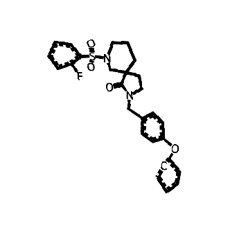 O=C1N(Cc2ccc(Oc3ccccc3)cc2)CCC12CCCN(S(=O)(=O)c1ccccc1F)C2